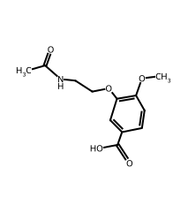 COc1ccc(C(=O)O)cc1OCCNC(C)=O